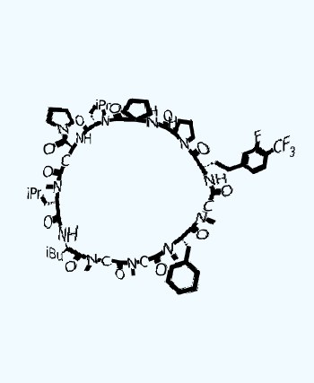 CC[C@H](C)[C@@H]1NC(=O)[C@H](CC(C)C)N(C)C(=O)C[C@@H](C(=O)N2CCCC2)NC(=O)[C@H](CC(C)C)N(C)C(=O)C2(CCCC2)NC(=O)[C@@H]2CCCN2C(=O)[C@H](CCc2ccc(C(F)(F)F)c(F)c2)NC(=O)CN(C)C(=O)[C@H](CC2CCCCC2)N(C)C(=O)CN(C)C(=O)CN(C)C1=O